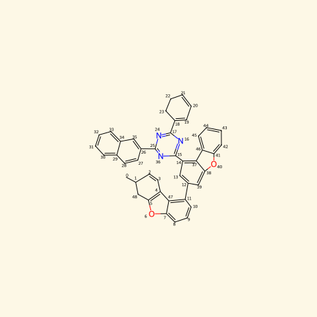 CC1C=Cc2c(oc3cccc(-c4cc(-c5nc(C6=CC=CCC6)nc(-c6ccc7ccccc7c6)n5)c5c(c4)oc4ccccc45)c23)C1